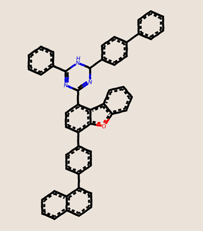 c1ccc(C2=NC(c3ccc(-c4ccc(-c5cccc6ccccc56)cc4)c4oc5ccccc5c34)=NC(c3ccc(-c4ccccc4)cc3)N2)cc1